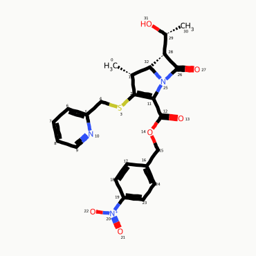 C[C@H]1C(SCc2ccccn2)=C(C(=O)OCc2ccc([N+](=O)[O-])cc2)N2C(=O)[C@@H]([C@@H](C)O)C12